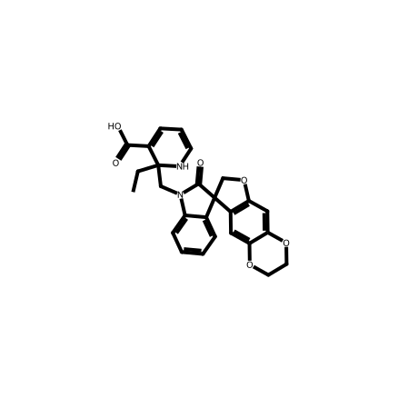 CCC1(CN2C(=O)C3(COc4cc5c(cc43)OCCO5)c3ccccc32)NC=CC=C1C(=O)O